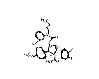 CCCCN(C(=O)CN1C[C@H](c2ccc(F)c(F)c2)[C@H](C(=O)O)[C@H]1c1ccc(OC)cc1)c1cccc(Cl)c1